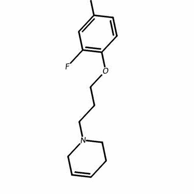 Fc1ccc(OCCCN2CC=CCC2)c(F)c1